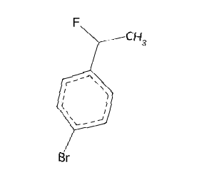 CC(F)c1ccc(Br)cc1